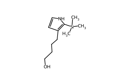 C[Si](C)(C)c1[nH]ccc1CCCCO